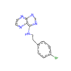 Brc1ccc(CCNc2ncnc3nccnc23)cc1